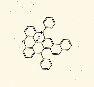 O=P12c3c4cccc3N(c3ccccc3)c3cc5c(ccc6ccccc65)c(c31)N(c1ccccc1)c1cccc(c12)O4